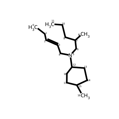 CC/C=C/CN(CC(C)CCC)C1CCC(C)CC1